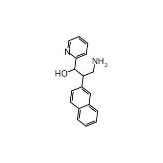 NCC(c1ccc2ccccc2c1)C(O)c1ccccn1